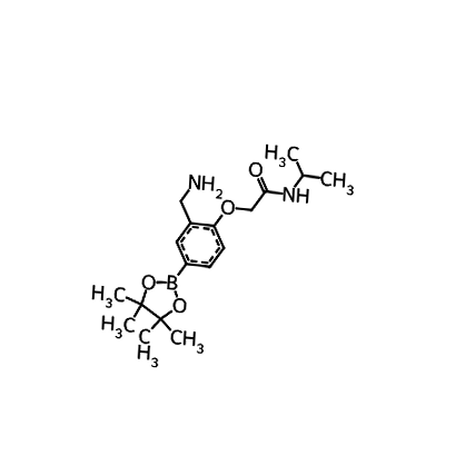 CC(C)NC(=O)COc1ccc(B2OC(C)(C)C(C)(C)O2)cc1CN